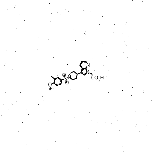 Cc1cc(S(=O)(=O)N2CCC(c3cn(CC(=O)O)c4ncccc34)CC2)ccc1OC(C)C